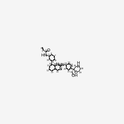 C=CC(=O)Nc1cccc(-c2cccc3cnc(Nc4ccc([C@@]5(CO)CNCCO5)nc4)nc23)c1